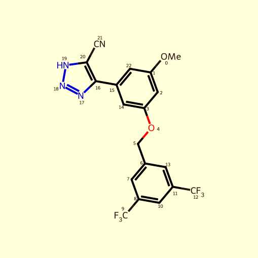 COc1cc(OCc2cc(C(F)(F)F)cc(C(F)(F)F)c2)cc(-c2nn[nH]c2C#N)c1